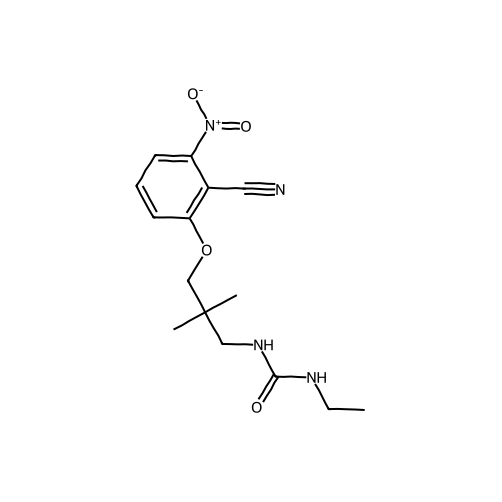 CCNC(=O)NCC(C)(C)COc1cccc([N+](=O)[O-])c1C#N